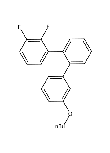 CCCCOc1cccc(-c2ccccc2-c2cccc(F)c2F)c1